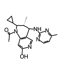 CC(=O)N1c2cc(O)ncc2C(Nc2nccc(C)n2)[C@@H](C)C1C1CC1